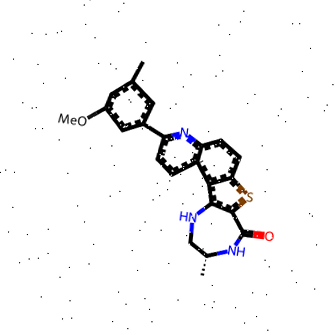 COc1cc(C)cc(-c2ccc3c(ccc4sc5c(c43)NC[C@@H](C)NC5=O)n2)c1